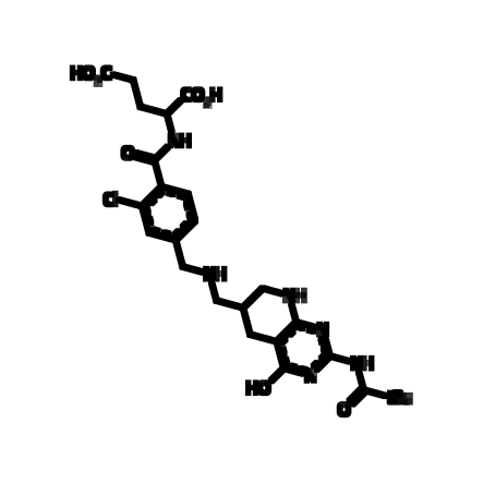 CC(C)(C)C(=O)Nc1nc(O)c2c(n1)NCC(CNCc1ccc(C(=O)NC(CCC(=O)O)C(=O)O)c(Cl)c1)C2